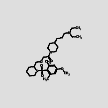 CCN(CC)CCCN1CCN(C(=O)COCC2CSCCN2S(=O)(=O)c2c(C)cc(OC)cc2C)CC1